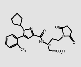 O=C(O)C[C@H](CCN1C(=O)CCC1=O)NC(=O)c1cc(-c2ccccc2C(F)(F)F)n(C2CCCC2)n1